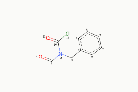 O=CN(Cc1ccccc1)C(=O)Cl